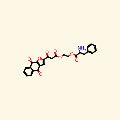 N[C@@H](Cc1ccccc1)C(=O)OCCOC(=O)CC(=O)c1cc2c(o1)C(=O)c1ccccc1C2=O